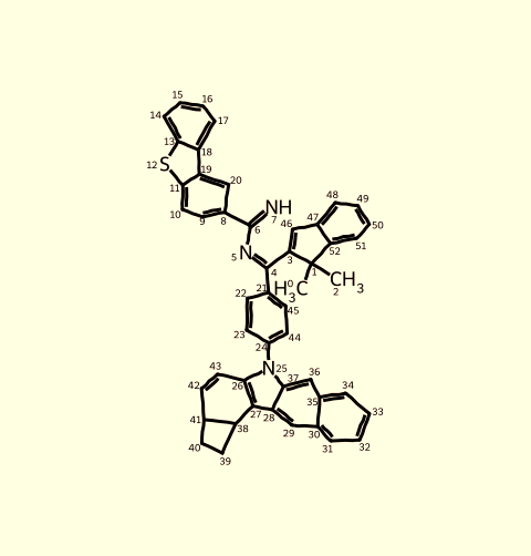 CC1(C)C(/C(=N\C(=N)c2ccc3sc4ccccc4c3c2)c2ccc(-n3c4c(c5cc6ccccc6cc53)C3CCC3C=C4)cc2)=Cc2ccccc21